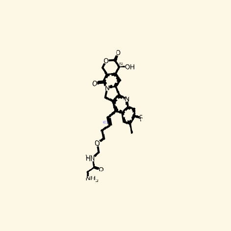 Cc1cc2c(/C=C/CCOCNC(=O)CN)c3c(nc2cc1F)-c1cc2c(c(=O)n1C3)COC(=O)[C@H]2O